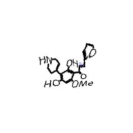 COc1cc(O)c(C2=CCNCC2)c(O)c1C(=O)/C=C/c1ccco1